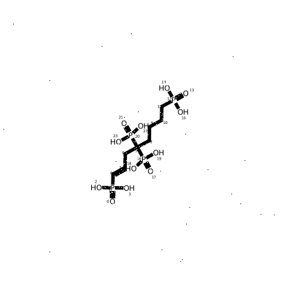 O=P(O)(O)/C=C/CC(CCCCP(=O)(O)O)(P(=O)(O)O)P(=O)(O)O